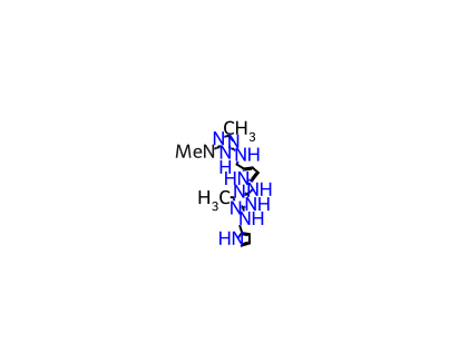 CNC1=NC(C)N=C(NCc2ccc(NC3=NC(C)N=C(NCc4ccc[nH]4)N3)[nH]2)N1